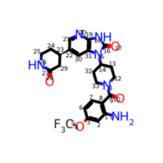 Nc1cc(OC(F)(F)F)ccc1C(=O)N1CCC(n2c(=O)[nH]c3ncc([C@@H]4CCNC(=O)C4)cc32)CC1